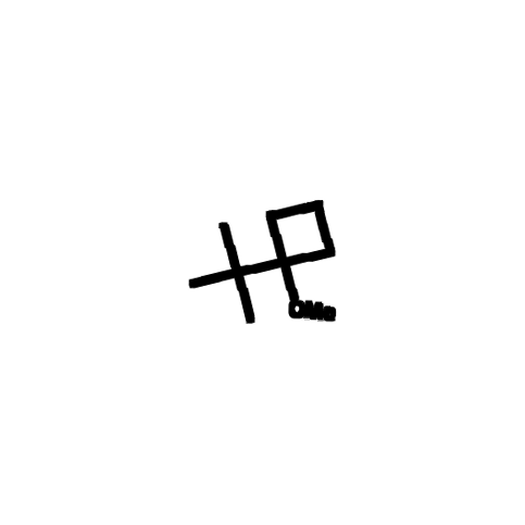 COC1(C(C)(C)C)CCC1